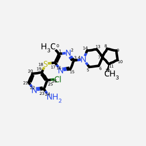 Cc1nc(N2CCC3(CCC[C@H]3C)CC2)cnc1Sc1ccnc(N)c1Cl